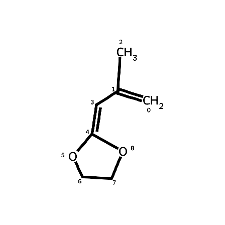 C=C(C)C=C1OCCO1